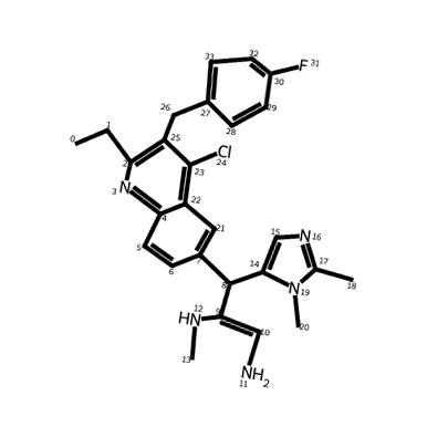 CCc1nc2ccc(C(/C(=C/N)NC)c3cnc(C)n3C)cc2c(Cl)c1Cc1ccc(F)cc1